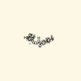 C[C@@H](COCC(O)C(=O)N1CCN(c2ncc(C(F)F)cn2)CC1)Oc1cn[nH]c(=O)c1C(F)(F)F